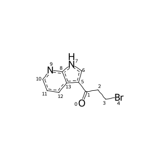 O=C(CCBr)c1c[nH]c2ncccc12